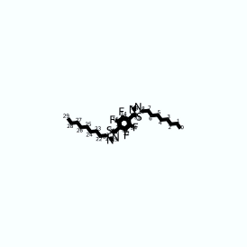 CCCCCCCCc1nnc(-c2c(F)c(F)c(-c3nnc(CCCCCCCC)s3)c(F)c2F)s1